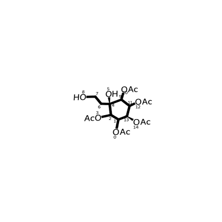 CC(=O)OC1C(OC(C)=O)[C@](O)(CCO)C(OC(C)=O)C(OC(C)=O)[C@H]1OC(C)=O